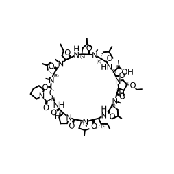 CCCC1C(=O)N[C@@H](CC(C)C)C(=O)N(C)[C@H](CC(C)C)C(=O)N[C@@H]([C@@H](C)O)C(=O)N2C[C@H](OCC)C[C@H]2C(=O)N(C)[C@@H](CC(C)C)C(=O)NC([C@@H](C)CC)C(=O)N(C)[C@@H](CC(C)C)C(=O)N2CCC[C@H]2C(=O)N[C@@H](C(=O)N2CCCCC2)CC(=O)N(C)[C@H](CC(C)C)C(=O)N1C